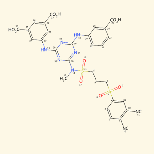 [C-]#[N+]c1ccc(S(=O)(=O)CCCS(=O)(=O)N(C)c2nc(Nc3cccc(C(=O)O)c3)nc(Nc3cc(C(=O)O)cc(C(=O)O)c3)n2)cc1[N+]#[C-]